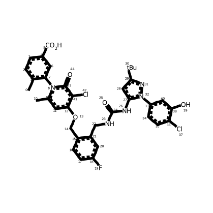 Cc1ccc(C(=O)O)cc1-n1c(C)cc(OCc2ccc(F)cc2CNC(=O)Nc2cc(C(C)(C)C)nn2-c2ccc(Cl)c(O)c2)c(Cl)c1=O